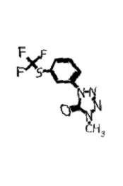 Cn1nnn(-c2cccc(SC(F)(F)F)c2)c1=O